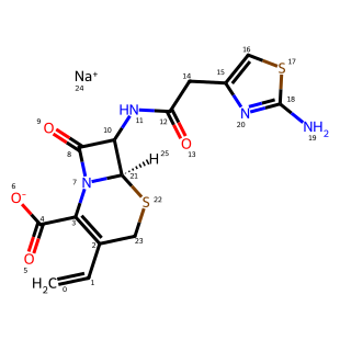 C=CC1=C(C(=O)[O-])N2C(=O)C(NC(=O)Cc3csc(N)n3)[C@H]2SC1.[Na+]